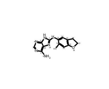 Nc1ncnc2[nH]c(Sc3cc4c(cc3I)OCC4)nc12